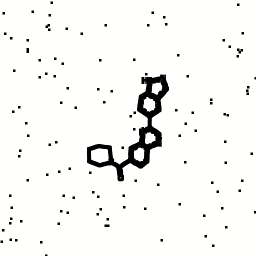 O=C(c1ccc2ncc(-c3ccc4[nH]ncc4c3)nc2c1)N1CCCCC1